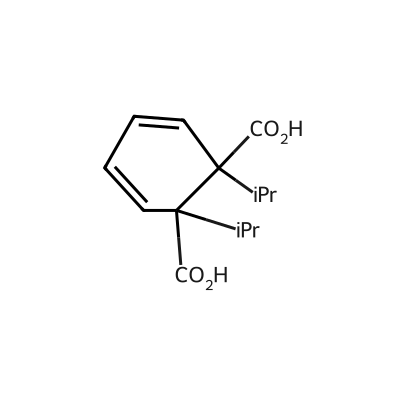 CC(C)C1(C(=O)O)C=CC=CC1(C(=O)O)C(C)C